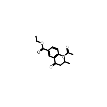 CCOC(=O)c1ccc2c(c1)C(=O)CC(C)N2C(C)=O